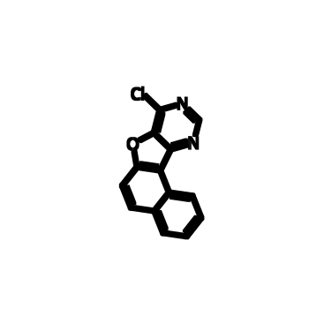 Clc1ncnc2c1oc1ccc3ccccc3c12